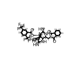 N=C1NC2C(CN3C(=O)c4ccccc4C3=O)NC(=N)N3C[C@H](OC(=O)c4cc(C(F)(F)F)ccc4C(F)(F)F)C(O)(O)C23N1